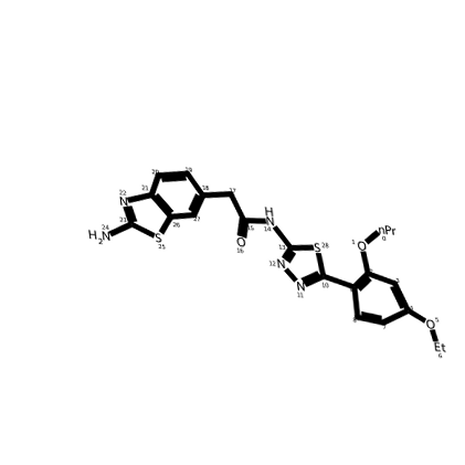 CCCOc1cc(OCC)ccc1-c1nnc(NC(=O)Cc2ccc3nc(N)sc3c2)s1